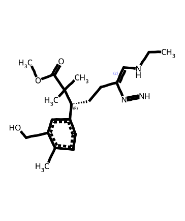 CCN/C=C(/CC[C@H](c1ccc(C)c(CO)c1)C(C)(C)C(=O)OC)N=N